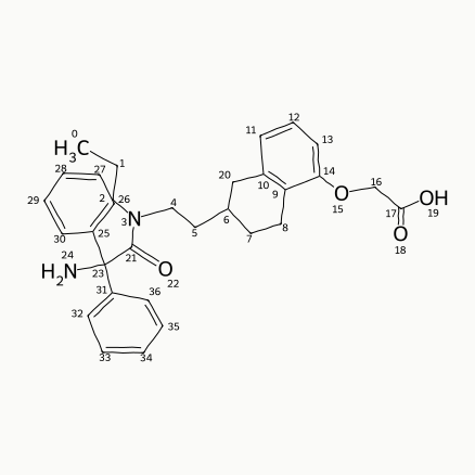 CCCN(CCC1CCc2c(cccc2OCC(=O)O)C1)C(=O)C(N)(c1ccccc1)c1ccccc1